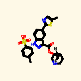 Cc1ccc(S(=O)(=O)O)cc1.Cc1cnc(-c2ccc3[nH]nc(C(=O)O[C@@H]4CN5CCC4CC5)c3c2)s1